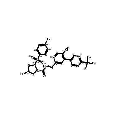 O=C(NCc1cc(-c2cnc(C(F)(F)F)nc2)c(Cl)cn1)[C@@H]1C[C@@H](F)CN1S(=O)(=O)c1ccc(F)cc1